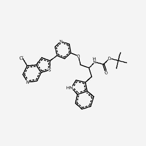 CC(C)(C)OC(=O)NC(COc1cncc(-c2cc3c(Cl)cncc3s2)c1)Cc1c[nH]c2ccccc12